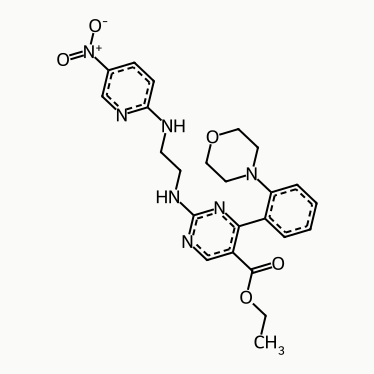 CCOC(=O)c1cnc(NCCNc2ccc([N+](=O)[O-])cn2)nc1-c1ccccc1N1CCOCC1